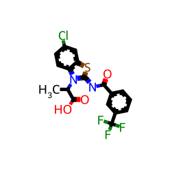 CC(C(=O)O)n1c(=NC(=O)c2cccc(C(F)(F)F)c2)sc2cc(Cl)ccc21